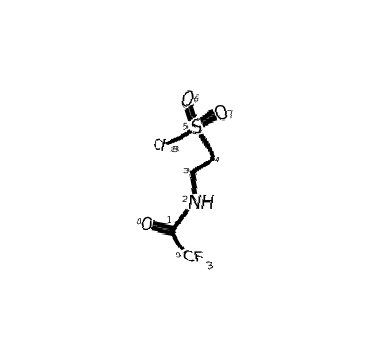 O=C(NCCS(=O)(=O)Cl)C(F)(F)F